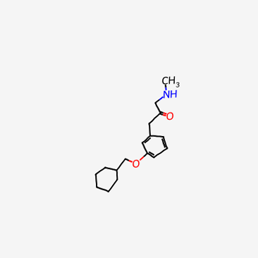 CNCC(=O)Cc1cccc(OCC2CCCCC2)c1